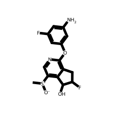 C[S+]([O-])c1cnc(Oc2cc(N)cc(F)c2)c2c1C(O)C(F)C2